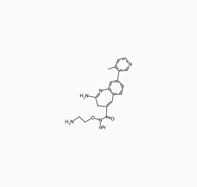 CCCN(OCCN)C(=O)C1=Cc2ccc(-c3cnccc3C)cc2N=C(N)C1